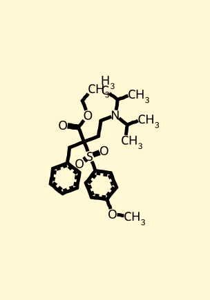 CCOC(=O)C(CCN(C(C)C)C(C)C)(Cc1ccccc1)S(=O)(=O)c1ccc(OC)cc1